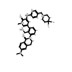 CN(C)c1ccc2c(c1)CCN(c1cccc(-c3cc(Nc4ccc(CN5CCC(F)(F)CC5)cn4)c(=O)n(C)c3)c1CO)C2=O